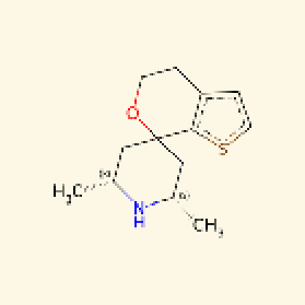 C[C@@H]1CC2(C[C@H](C)N1)OCCc1ccsc12